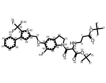 CC(C)(C)OC(=O)CCNC(C(=O)OC(C)(C)C)C(=O)N1CCc2cc(OCc3cc(-c4ccccc4)c(C(F)(F)F)s3)c(F)cc21